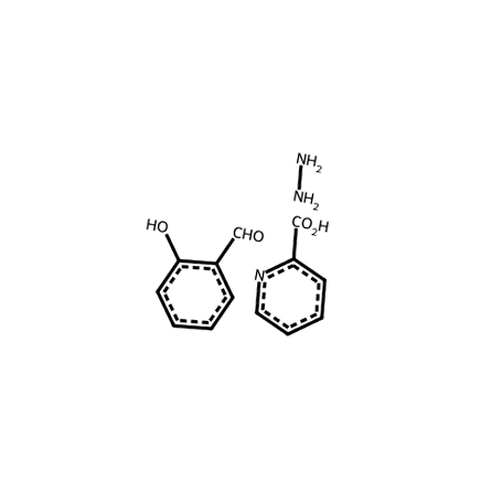 NN.O=C(O)c1ccccn1.O=Cc1ccccc1O